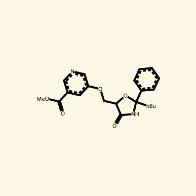 CCCCC1(c2ccccc2)NC(=O)C(COc2cncc(C(=O)OC)c2)O1